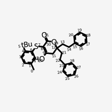 Cc1ccc(C(C)(C)C)c(SC2=C(O)CC(CCc3ccccc3)(CCc3ccccc3)OC2=O)c1